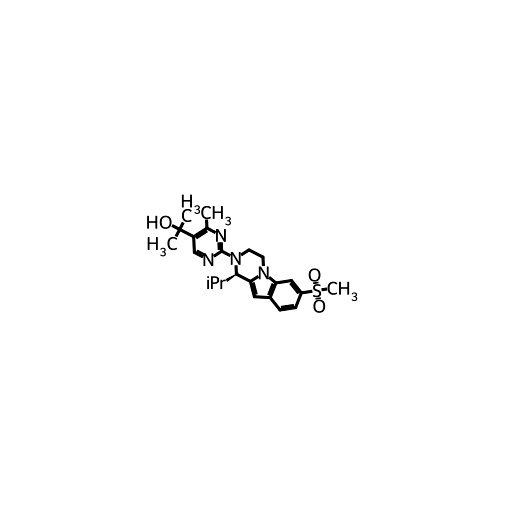 Cc1nc(N2CCn3c(cc4ccc(S(C)(=O)=O)cc43)[C@H]2C(C)C)ncc1C(C)(C)O